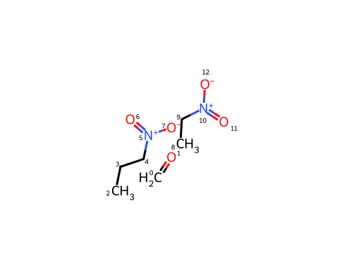 C=O.CCC[N+](=O)[O-].CC[N+](=O)[O-]